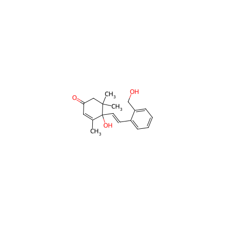 CC1=CC(=O)CC(C)(C)C1(O)C=Cc1ccccc1CO